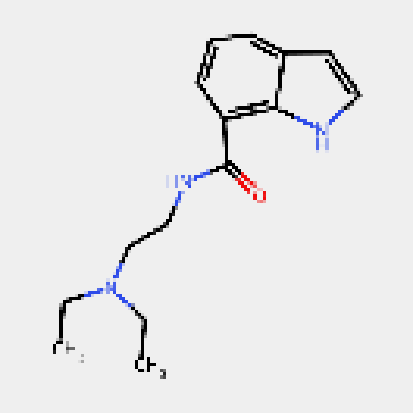 CCN(CC)CCNC(=O)c1cccc2cc[nH]c12